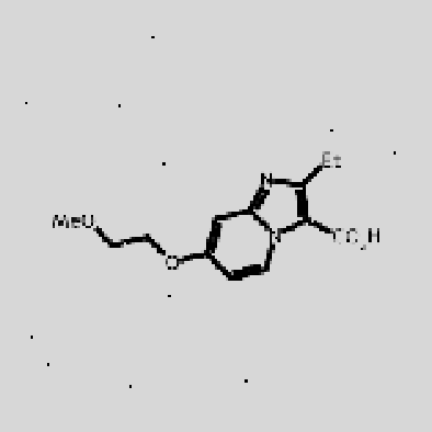 CCc1nc2cc(OCCOC)ccn2c1C(=O)O